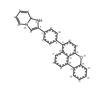 C1=CC2NC(c3ccc(-c4ccc5c6c(cccc46)-c4ccccc4O5)cc3)=CN2C=C1